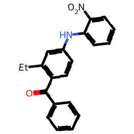 CCc1cc(Nc2ccccc2[N+](=O)[O-])ccc1C(=O)c1ccccc1